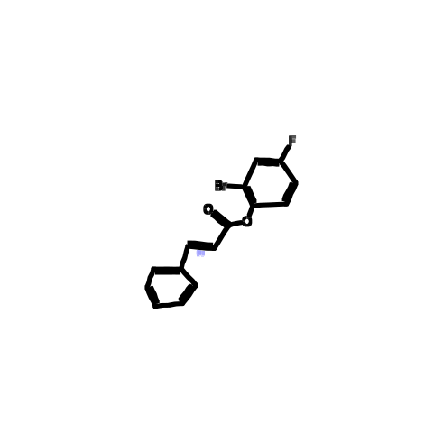 O=C(/C=C/c1ccccc1)Oc1ccc(F)cc1Br